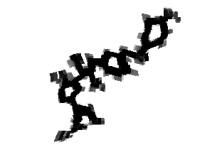 CN/C=C(\C=N)c1ccc(N)c(C(=N)/C(N)=C/c2cccc(CNC3CCC(N)CC3)c2)c1